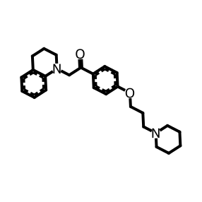 O=C(CN1CCCc2ccccc21)c1ccc(OCCCN2CCCCC2)cc1